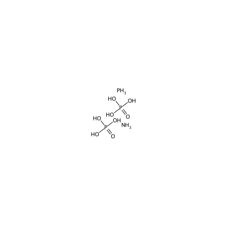 N.O=P(O)(O)O.O=P(O)(O)O.P